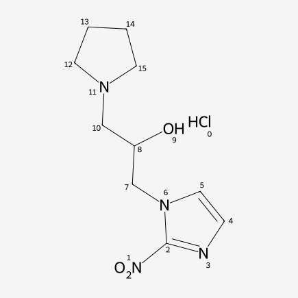 Cl.O=[N+]([O-])c1nccn1CC(O)CN1CCCC1